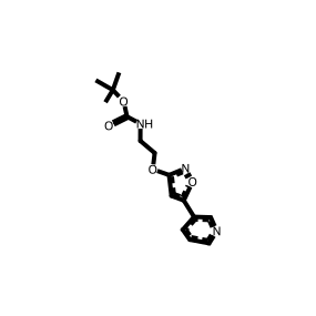 CC(C)(C)OC(=O)NCCOc1cc(-c2cccnc2)on1